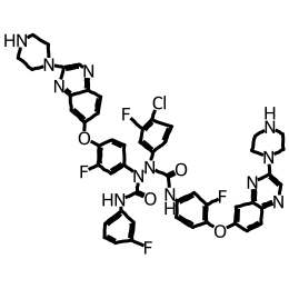 O=C(Nc1ccc(Oc2ccc3ncc(N4CCNCC4)nc3c2)c(F)c1)N(c1ccc(Cl)c(F)c1)N(C(=O)Nc1cccc(F)c1)c1ccc(Oc2ccc3ncc(N4CCNCC4)nc3c2)c(F)c1